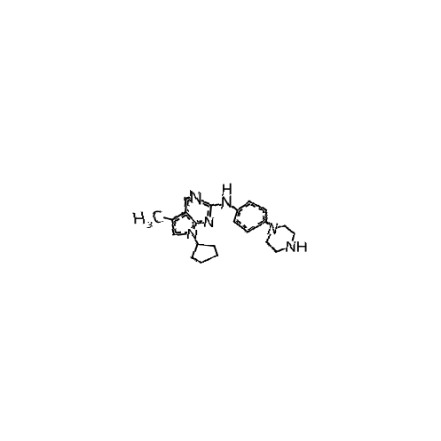 Cc1cn(C2CCCC2)c2nc(Nc3ccc(N4CCNCC4)cc3)ncc12